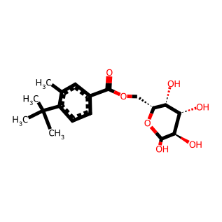 Cc1cc(C(=O)OC[C@H]2OC(O)[C@H](O)[C@@H](O)[C@H]2O)ccc1C(C)(C)C